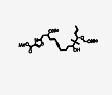 C/C=C/[C@H](OCOC)C(C)(C)[C@@H](O)C/C=C\C#C/C=C/[C@@H](Cc1nc(C(=O)OC)cs1)OC